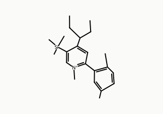 CCC(CC)c1cc(-c2cc(C)ccc2C)[n+](C)cc1[Si](C)(C)C